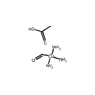 CC(=O)O.[NH2][Cu]([NH2])([NH2])[CH]=O